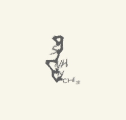 Cc1ccc2c(n1)NC(c1cc3ccccc3s1)C=C2